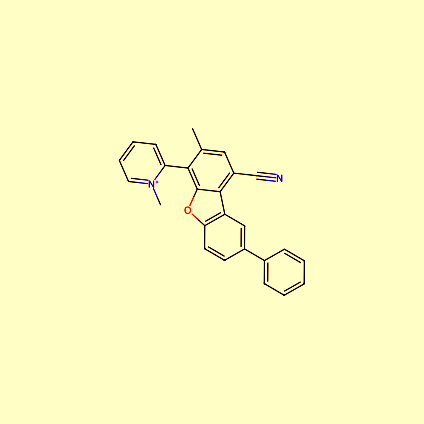 Cc1cc(C#N)c2c(oc3ccc(-c4ccccc4)cc32)c1-c1cccc[n+]1C